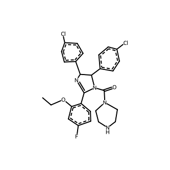 CCOc1cc(F)ccc1C1=NC(c2ccc(Cl)cc2)C(c2ccc(Cl)cc2)N1C(=O)N1CCNCC1